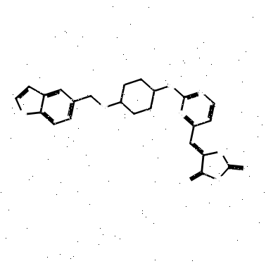 O=C1NC(=O)/C(=C/c2ccnc(NC3CCC(NCc4ccc5occc5c4)CC3)n2)S1